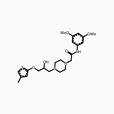 COc1cc(NC(=O)CN2CCN(CC(O)COc3cc(C)cs3)CC2)cc(OC)c1